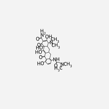 CN(C)CC(=O)Nc1ccc(O)c2c1CC1CC3[C@H](N(C)C)C(O)=C(C(N)=O)C(=O)[C@@]3(O)C(O)=C1C2=O